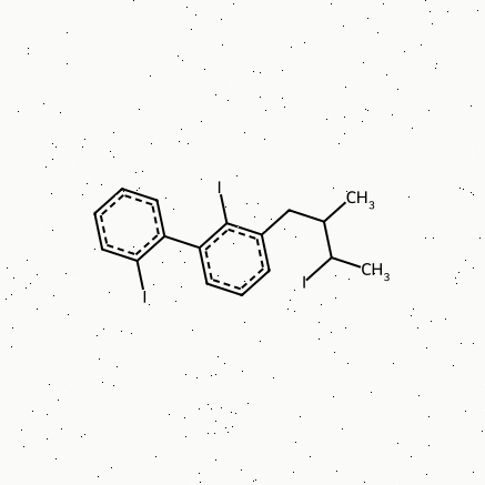 CC(I)C(C)Cc1cccc(-c2ccccc2I)c1I